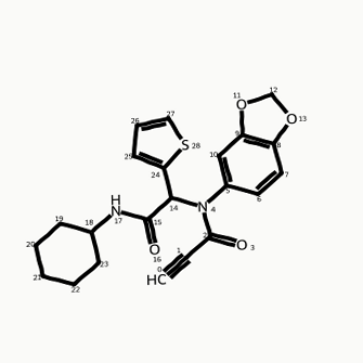 C#CC(=O)N(c1ccc2c(c1)OCO2)C(C(=O)NC1CCCCC1)c1cccs1